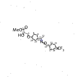 COC(=O)C(O)COc1ccc(/C(C)=N/OCc2ccc(C(F)(F)F)cc2)cc1